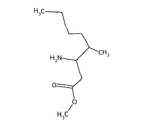 CCCCC(C)C(N)CC(=O)OC